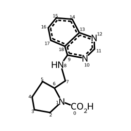 O=C(O)N1CCCCC1CNc1ncnc2ccccc12